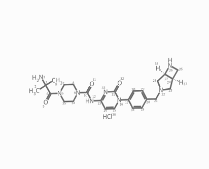 CC(C)(N)C(=O)N1CCN(C(=O)Nc2ccn(-c3ccc(CN4C[C@@H]5CN[C@@H]5C4)cc3)c(=O)n2)CC1.Cl